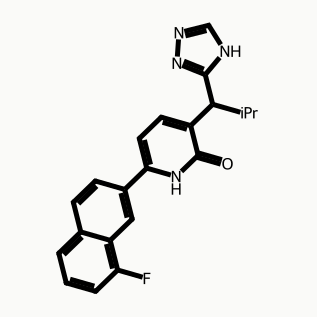 CC(C)C(c1nnc[nH]1)c1ccc(-c2ccc3cccc(F)c3c2)[nH]c1=O